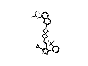 CC(C)Oc1ccnc2ccc(N3CC4(CC(/C=C/c5c(-c6ncccc6C(F)(F)F)noc5C5CC5)C4)C3)cc12